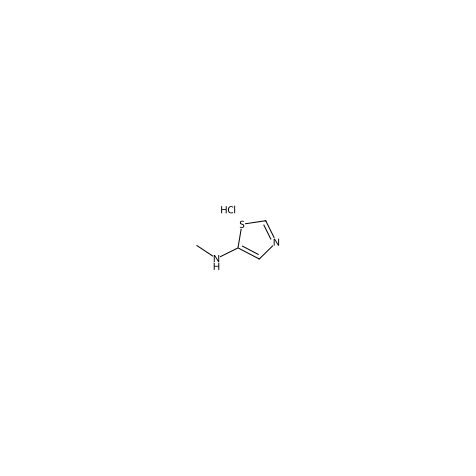 CNc1cncs1.Cl